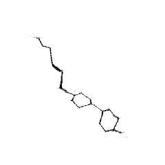 CCC1CCC(C2CCC(C/C=C/CCCF)CC2)CC1